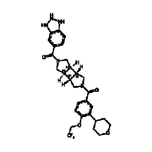 O=C(c1ccc2c(c1)NNN2)N1C[C@@H]2[C@H](C1)[C@H]1CN(C(=O)c3cnc(OCC(F)(F)F)c(C4CCOCC4)c3)C[C@@H]21